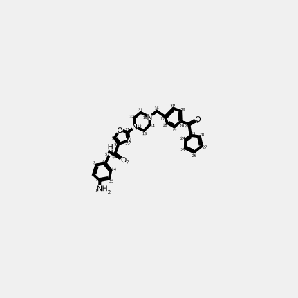 Nc1ccc(NC(=O)c2coc(N3CCN(Cc4ccc(C(=O)c5ccccc5)cc4)CC3)n2)cc1